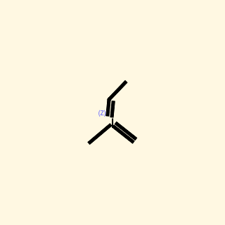 C=I(/C)=C\C